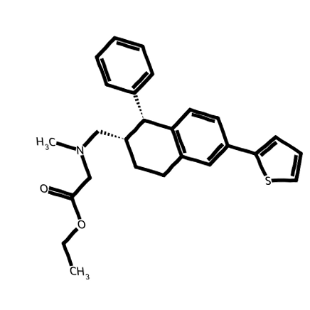 CCOC(=O)CN(C)C[C@H]1CCc2cc(-c3cccs3)ccc2[C@H]1c1ccccc1